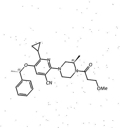 COCCC(=O)N1CCN(c2nc(C3CC3)c(O[C@@H](C)c3ccccc3)cc2C#N)C[C@H]1C